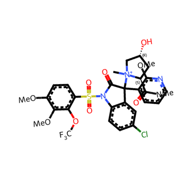 CNC(=O)[C@@H]1C[C@@H](O)C[N+]1(C)C1(c2cccnc2OC)C(=O)N(S(=O)(=O)c2ccc(OC)c(OC)c2OC(F)(F)F)c2ccc(Cl)cc21